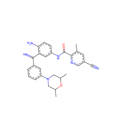 Cc1cc(C#N)cnc1C(=O)Nc1ccc(N)c(C(=N)c2cccc(N3CC(C)OC(C)C3)c2)c1